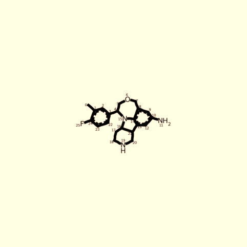 Cc1cc(C2COCc3cc(N)cc4c3N2C2CCNCC42)ccc1F